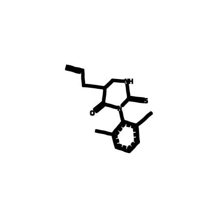 C=CCC1CNC(=S)N(c2c(C)cccc2C)C1=O